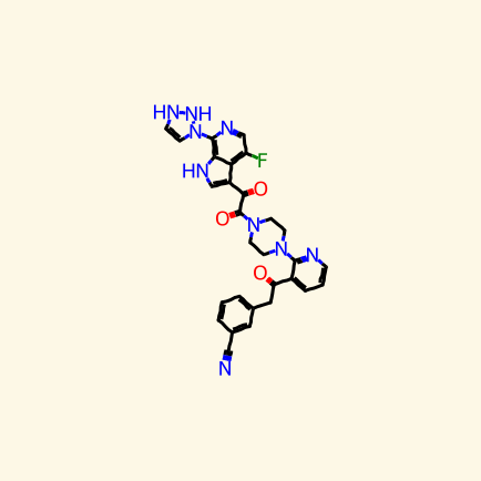 N#Cc1cccc(CC(=O)c2cccnc2N2CCN(C(=O)C(=O)c3c[nH]c4c(N5C=CNN5)ncc(F)c34)CC2)c1